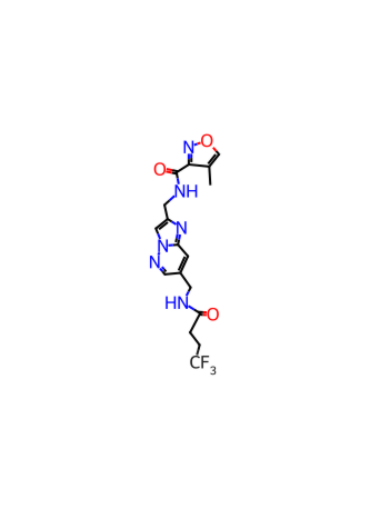 Cc1conc1C(=O)NCc1cn2ncc(CNC(=O)CCC(F)(F)F)cc2n1